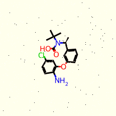 C[C@@H](c1cccc(Oc2cc(Cl)ccc2N)c1)N(C(=O)O)C(C)(C)C